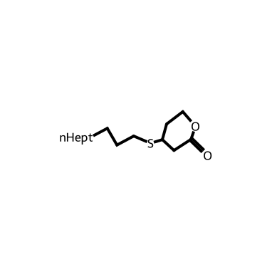 CCCCCCCCCCSC1CCOC(=O)C1